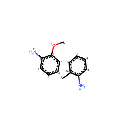 COc1ccccc1N.Cc1ccccc1N